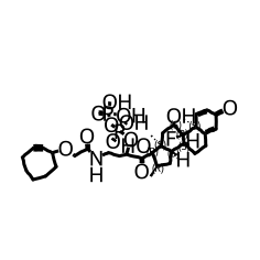 C[C@@H]1C[C@H]2[C@@H]3CCC4=CC(=O)C=C[C@]4(C)[C@@]3(F)[C@@H](O)C[C@]2(C)[C@@]1(O)C(=O)C(CCNC(=O)COC1C#CCCCCC1)OP(=O)(O)OP(=O)(O)O